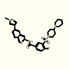 Cn1cc(-c2ccc3cnc(NC(=O)c4ccc(F)c(S(=O)(=O)N5CCC(N6CCCCC6)CC5)c4)cc3c2)cn1